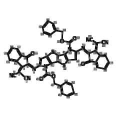 N#CC(C#N)=C1/C(=N/c2cc3sc4c(sc5cc(/N=C6\C(=O)c7ccccc7C6=C(C#N)C#N)n(C(=O)OCc6ccccc6)c54)c3n2C(=O)OCc2ccccc2)C(=O)c2ccccc21